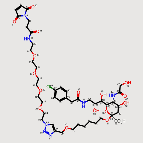 O=C(CCN1C(=O)C=CC1=O)NCCOCCOCCOCCOCCn1cc(COCCCCCCO[C@]2(C(=O)O)C[C@H](O)[C@@H](NC(=O)CO)[C@H]([C@H](O)[C@H](O)CNC(=O)Cc3ccc(Cl)cc3)O2)nn1